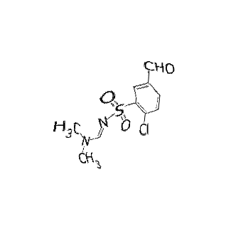 CN(C)/C=N/S(=O)(=O)c1cc(C=O)ccc1Cl